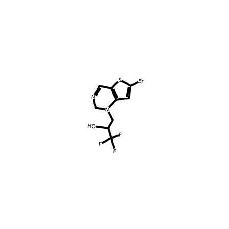 OC(CN1CN=Cc2sc(Br)cc21)C(F)(F)F